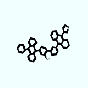 Sc1cc(-c2c3ccccc3c(-c3ccccc3)c3ccccc23)ccc1-c1cccc(-c2c3c(c(-c4ccsc4)c4ccccc24)CCC=C3)c1